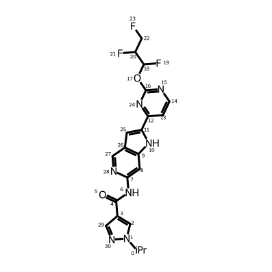 CC(C)n1cc(C(=O)Nc2cc3[nH]c(-c4ccnc(OC(F)C(F)CF)n4)cc3cn2)cn1